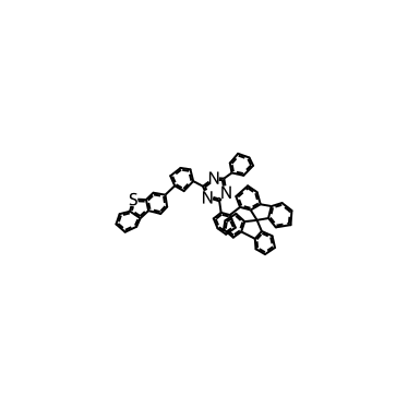 c1ccc(-c2nc(-c3cccc(-c4ccc5c(c4)sc4ccccc45)c3)nc(-c3ccccc3-c3cccc4c3C3(c5ccccc5-c5ccccc53)c3ccccc3-4)n2)cc1